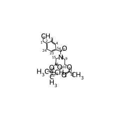 CCc1ccc(C(=O)N(CCOC(C)=O)CC(=O)OC(C)(C)C)cc1